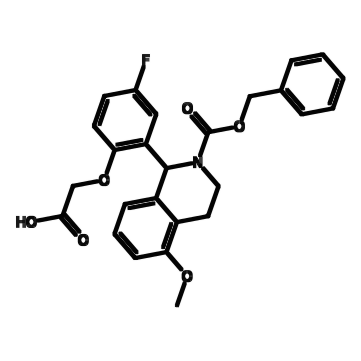 COc1cccc2c1CCN(C(=O)OCc1ccccc1)C2c1cc(F)ccc1OCC(=O)O